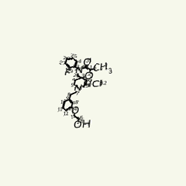 CC1OC2(CCN(CCc3cccc(OCCO)c3)CC2)CN(c2ccccc2F)C1=O.Cl